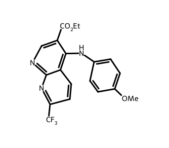 CCOC(=O)c1cnc2nc(C(F)(F)F)ccc2c1Nc1ccc(OC)cc1